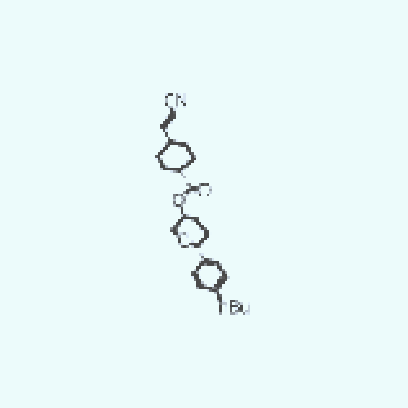 CCCCc1ccc([C@H]2CC[C@H](OC(=O)[C@H]3CC[C@H](C=CC#N)CC3)CC2)cc1